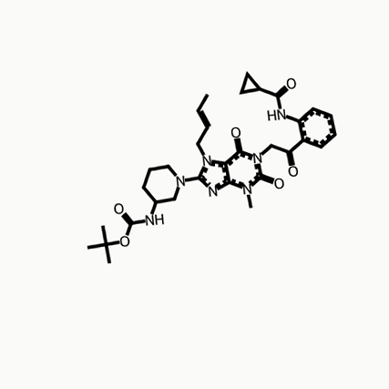 CC=CCn1c(N2CCCC(NC(=O)OC(C)(C)C)C2)nc2c1c(=O)n(CC(=O)c1ccccc1NC(=O)C1CC1)c(=O)n2C